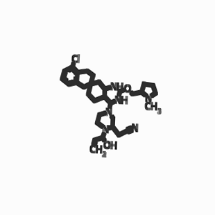 C=CC(O)N1CCN(C2NC(OCC3CCCN3C)NC3CC4(CCc5c(Cl)cccc5C4)CCC32)CC1CC#N